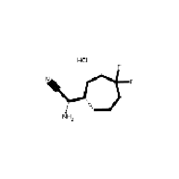 Cl.N#C[C@@H](N)[C@H]1CCCC(F)(F)CC1